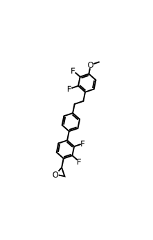 COc1ccc(CCc2ccc(-c3ccc(C4CO4)c(F)c3F)cc2)c(F)c1F